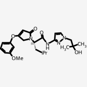 COc1cccc(OC2=CC(=O)N([C@@H](CC(C)C)C(=O)Nc3ccn(CC(C)(C)O)n3)C2)c1